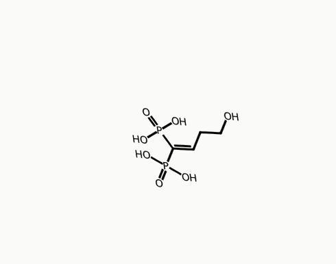 O=P(O)(O)C(=CCCO)P(=O)(O)O